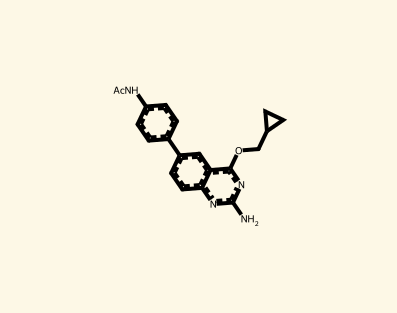 CC(=O)Nc1ccc(-c2ccc3nc(N)nc(OCC4CC4)c3c2)cc1